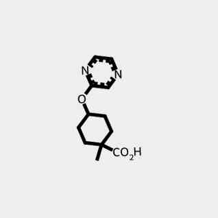 CC1(C(=O)O)CCC(Oc2cnccn2)CC1